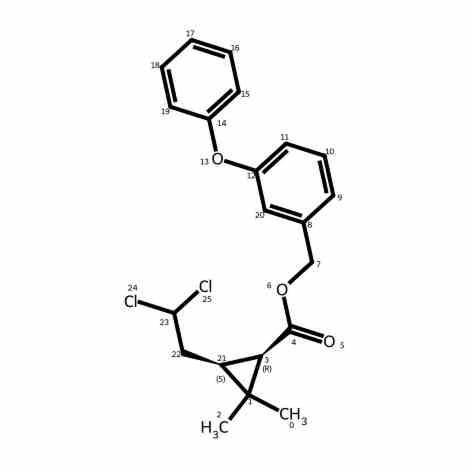 CC1(C)[C@H](C(=O)OCc2cccc(Oc3ccccc3)c2)[C@@H]1CC(Cl)Cl